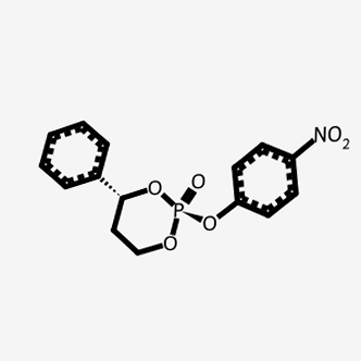 O=[N+]([O-])c1ccc(O[P@@]2(=O)OCC[C@H](c3ccccc3)O2)cc1